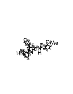 COc1cccc(CC(=O)NCc2cc3nc(-c4cccc5[nH]ncc45)nc(N4CCOCC4)c3s2)c1